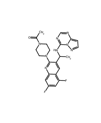 CC(=O)N1CCN(c2nc3cc(F)cc(F)c3cc2C(C)Nc2ncnc3ccnn23)CC1